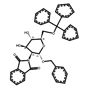 O=C1c2ccccc2C(=O)N1[C@@H]1[C@@H](OCc2ccccc2)O[C@H](COC(c2ccccc2)(c2ccccc2)c2ccccc2)[C@@H](O)[C@@H]1O